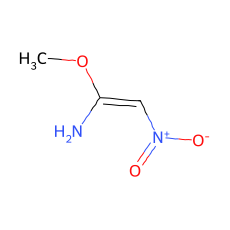 COC(N)=C[N+](=O)[O-]